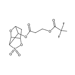 CC(F)(F)C(=O)OCCC(=O)OC1C2CC3OS(=O)(=O)C1C3O2